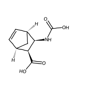 O=C(O)N[C@H]1[C@@H](C(=O)O)[C@H]2C=C[C@@H]1C2